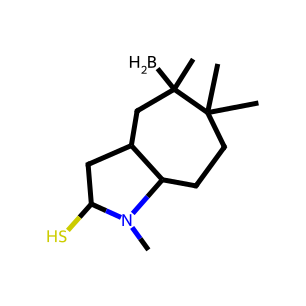 BC1(C)CC2CC(S)N(C)C2CCC1(C)C